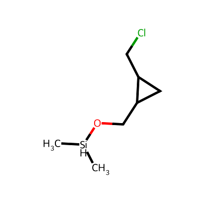 C[SiH](C)OCC1CC1CCl